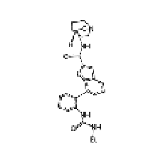 CCNC(=O)Nc1ccccc1-c1cccc2cc(C(=O)N[C@H]3CN4CCC3CC4)oc12